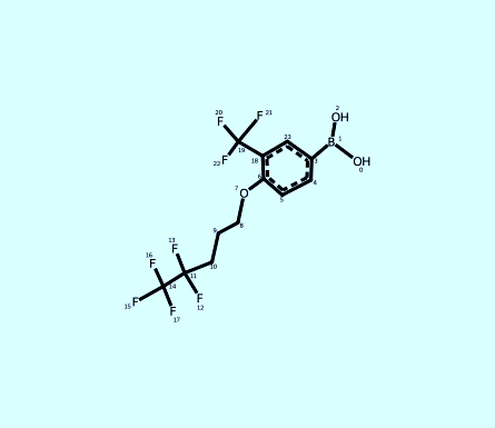 OB(O)c1ccc(OCCCC(F)(F)C(F)(F)F)c(C(F)(F)F)c1